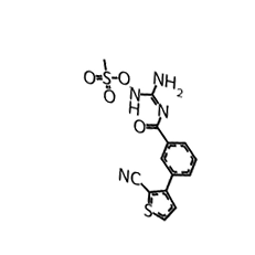 CS(=O)(=O)ONC(N)=NC(=O)c1cccc(-c2ccsc2C#N)c1